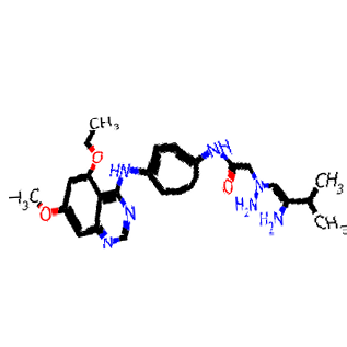 CCOc1cc(OC)cc2ncnc(Nc3ccc(NC(=O)CN(N)/C=C(\N)C(C)C)cc3)c12